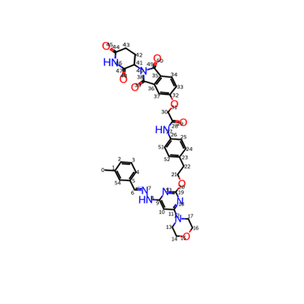 Cc1cccc(/C=N/Nc2cc(N3CCOCC3)nc(OCCc3ccc(NC(=O)COc4ccc5c(c4)C(=O)N(C4CCC(=O)NC4=O)C5=O)cc3)n2)c1